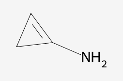 NC1=CC1